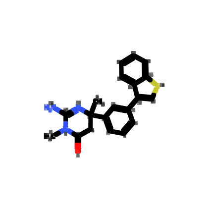 CN1C(=O)CC(C)(c2cccc(-c3csc4ccccc34)c2)N=C1N